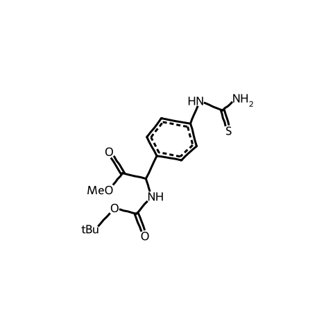 COC(=O)C(NC(=O)OC(C)(C)C)c1ccc(NC(N)=S)cc1